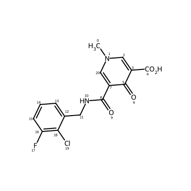 Cn1cc(C(=O)O)c(=O)c(C(=O)NCc2cccc(F)c2Cl)c1